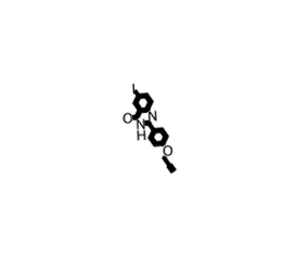 C#CCOc1ccc(-c2nc3ccc(I)cc3c(=O)[nH]2)cc1